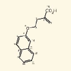 C=C(CCOc1ccc2ccccc2c1)C(=O)O